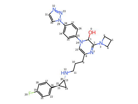 OC1C(N2CCC2)=NC(CCCN[C@@H]2C[C@H]2c2ccc(F)cc2)=CN1c1ccc(-n2ccnn2)cc1